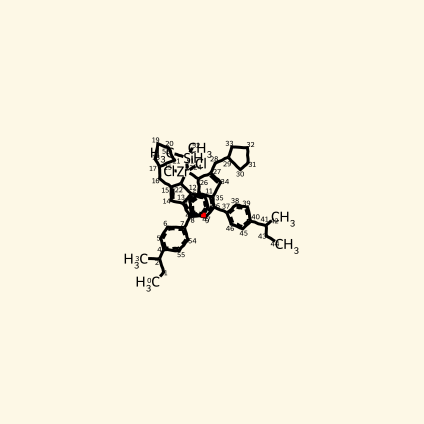 CCC(C)c1ccc(-c2cccc3c2C=C(CC2CCCC2)[CH]3[Zr]([Cl])([Cl])([CH]2C(CC3CCCC3)=Cc3c(-c4ccc(C(C)CC)cc4)cccc32)[SiH](C)C)cc1